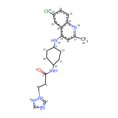 O=C(CCn1cncn1)NC1CCC(Nc2cc(C(F)(F)F)nc3ccc(Cl)cc23)CC1